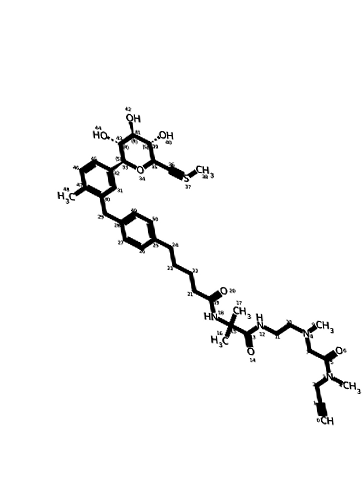 C#CCN(C)C(=O)CN(C)CCNC(=O)C(C)(C)NC(=O)CCCCc1ccc(Cc2cc([C@@H]3OC(C#SC)[C@@H](O)[C@H](O)[C@H]3O)ccc2C)cc1